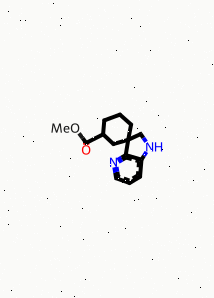 COC(=O)C1CCCC2(CNc3cccnc32)C1